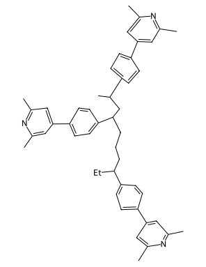 CCC(CCCC(CC(C)c1ccc(-c2cc(C)nc(C)c2)cc1)c1ccc(-c2cc(C)nc(C)c2)cc1)c1ccc(-c2cc(C)nc(C)c2)cc1